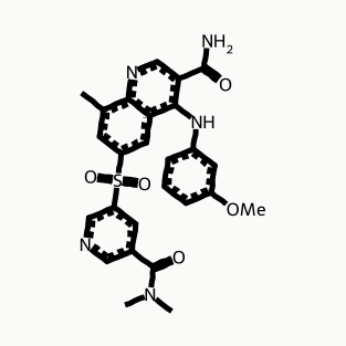 COc1cccc(Nc2c(C(N)=O)cnc3c(C)cc(S(=O)(=O)c4cncc(C(=O)N(C)C)c4)cc23)c1